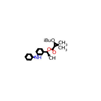 C#CC(OC(=O)C1C(OCC(C)C)C1(C)C)c1cccc(Nc2ccccc2)c1